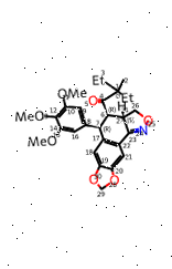 CCC(C)(CC)C(=O)[C@@H]1[C@H](c2cc(OC)c(OC)c(OC)c2)c2cc3c(cc2C2=NOC[C@H]21)OCO3